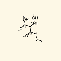 CSCC(=O)C(NO)C(=O)O